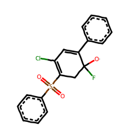 [O]C1(F)CC(S(=O)(=O)c2ccccc2)=C(Cl)C=C1c1ccccc1